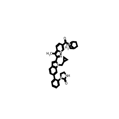 Cc1c(-c2cc3ccc(-c4ccccc4N4CCNC4=O)cc3n2CC2CC2)nn2cc(C(=O)N3CC4CCC3[C@@H]4N)ccc12